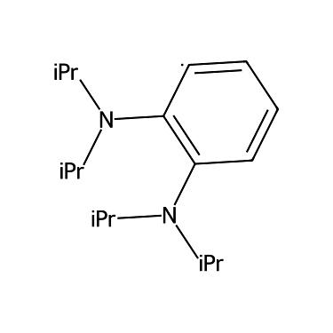 CC(C)N(c1[c]cccc1N(C(C)C)C(C)C)C(C)C